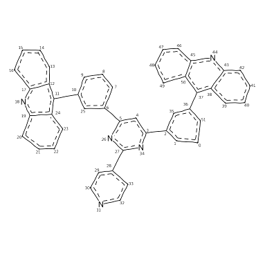 c1cc(-c2cc(-c3cccc(-c4c5ccccc5nc5ccccc45)c3)nc(-c3ccncc3)n2)cc(-c2c3ccccc3nc3ccccc23)c1